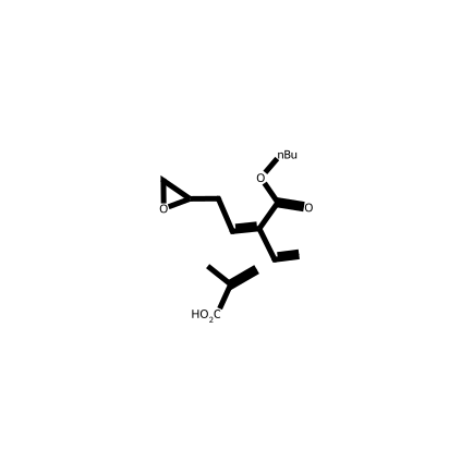 C=C(C)C(=O)O.C=CC(=CCC1CO1)C(=O)OCCCC